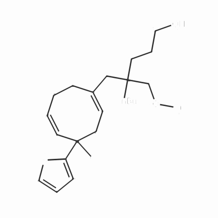 CCCCC(CCCO)(COCC)C/C1=C/CC(C)(c2cccs2)/C=C\CC1